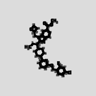 CC[C@@H](c1nc2ccc(C(=O)OC)cc2n1C[C@@H]1CCO1)N1CCC(c2cccc(OCc3ccc(Cl)cc3F)n2)CC1